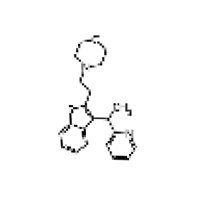 CC(c1ccccn1)c1c(CCN2CCOCC2)sc2ccccc12